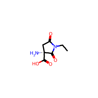 CCN1C(=O)C[C@](N)(C(=O)O)C1=O